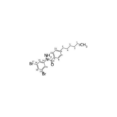 CCCCCCc1ccc(C(=O)N(N)c2cc(Br)cc(Br)c2)cc1